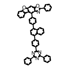 c1ccc(-c2nc(-c3ccccc3)nc(-c3ccc(-c4ccc(-c5ccc(-c6c7nc(-c8ccccc8)oc7cc7oc8ccccc8c67)cc5)c5ccccc45)cc3)n2)cc1